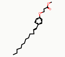 CCCCCCCCCCC=Cc1ccc(OCCC(=O)OC)cc1